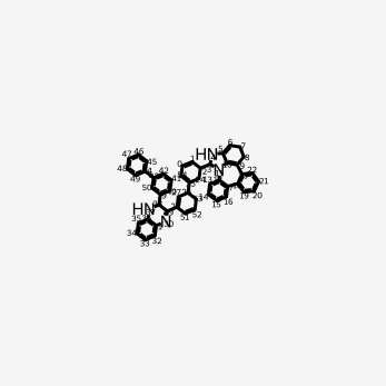 C1=CC(C2NC3=CCCC4=C3N2c2ccccc2-c2ccccc24)CC(C2C=C(C3=Nc4ccccc4NC3c3cccc(-c4ccccc4)c3)C=CC2)=C1